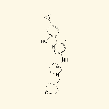 Cc1cc(N[C@H]2CCCN(CC3CCOCC3)C2)nnc1-c1ccc(C2CC2)cc1O